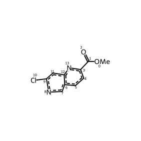 COC(=O)c1ccc2cnc(Cl)cc2n1